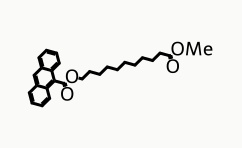 COC(=O)CCCCCCCCCCOC(=O)c1c2ccccc2cc2ccccc12